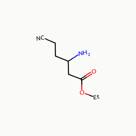 CCOC(=O)CC(N)CCC#N